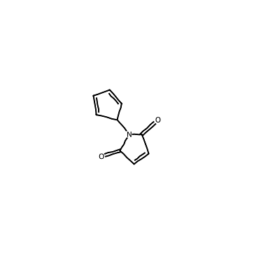 O=C1C=CC(=O)N1C1C=CC=C1